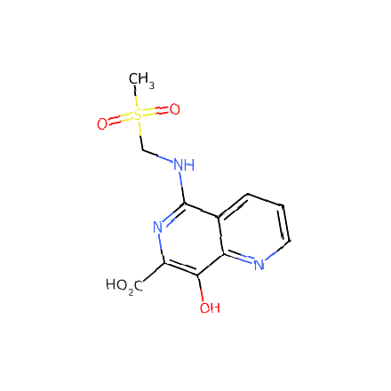 CS(=O)(=O)CNc1nc(C(=O)O)c(O)c2ncccc12